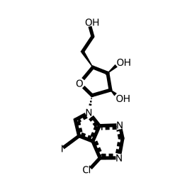 OCC[C@@H]1O[C@@H](n2cc(I)c3c(Cl)ncnc32)[C@H](O)[C@@H]1O